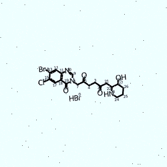 Br.O=C(CCC(=O)Cn1cnc2cc(Br)c(Cl)cc2c1=O)CC1NCCCC1O